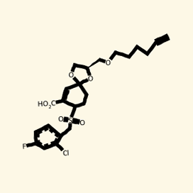 C#CCCCCOC[C@@H]1COC2(C=C(C(=O)O)C(S(=O)(=O)Cc3ccc(F)cc3Cl)CC2)O1